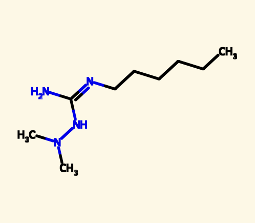 CCCCCCN=C(N)NN(C)C